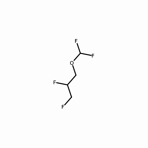 FCC(F)COC(F)F